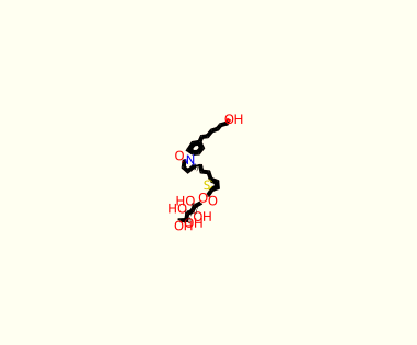 O=C(OC[C@@H](O)[C@@H](O)[C@@H](O)[C@H](O)CO)c1ccc(CCC[C@H]2CCC(=O)N2c2ccc(CCCCCCO)cc2)s1